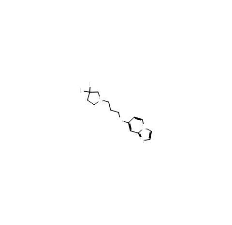 FC1(F)CCN(CCCOc2ccn3ccnc3c2)C1